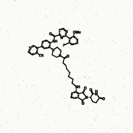 COc1cccc(F)c1-c1nccc(C(=O)Nc2ccc(-c3cnccc3C#N)cc2N2CCN(C(=O)CCCCCCCNc3cccc4c3C(=O)N(C3CCC(=O)NC3=O)C4=O)CC2)n1